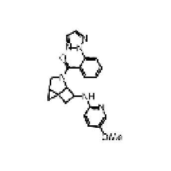 COc1ccc(NC2CC34CC3CN(C(=O)c3ccccc3-n3nccn3)C24)nc1